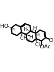 CC(=O)OC1C(Cl)=CC[C@H]2[C@@H]3CC=C4C[C@@H](O)CC[C@]4(C)[C@H]3CC[C@]12C